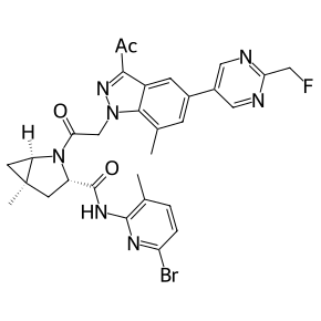 CC(=O)c1nn(CC(=O)N2[C@H](C(=O)Nc3nc(Br)ccc3C)C[C@@]3(C)C[C@@H]23)c2c(C)cc(-c3cnc(CF)nc3)cc12